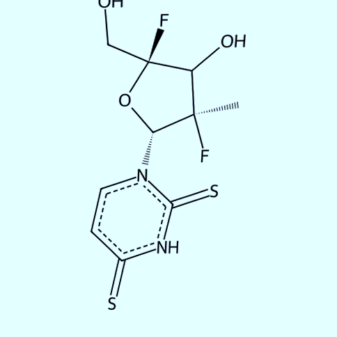 C[C@@]1(F)C(O)[C@@](F)(CO)O[C@H]1n1ccc(=S)[nH]c1=S